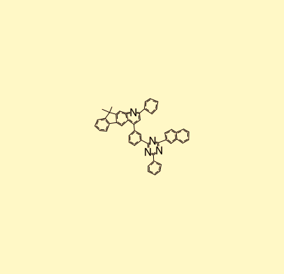 CC1(C)c2ccccc2-c2cc3c(-c4cccc(-c5nc(-c6ccccc6)nc(-c6ccc7ccccc7c6)n5)c4)cc(-c4ccccc4)nc3cc21